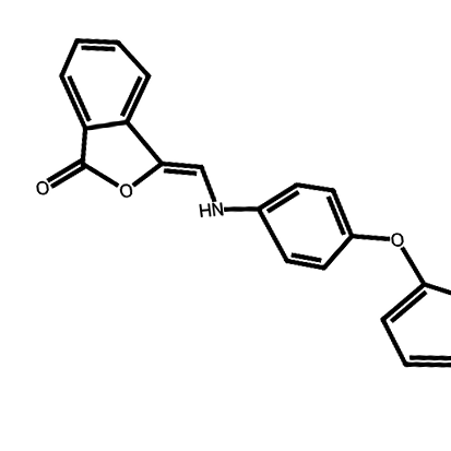 O=C1O/C(=C\Nc2ccc(Oc3ccccc3)cc2)c2ccccc21